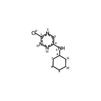 Clc1ncc(NC2CCCCC2)nn1